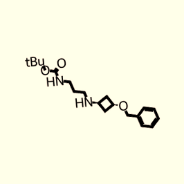 CC(C)(C)OC(=O)NCCCN[C@H]1C[C@H](OCc2ccccc2)C1